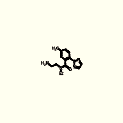 CCN(CCN)C(=O)c1cc(C)ccc1-n1nccn1